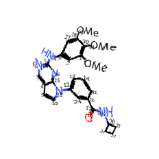 COc1cc(Nc2ncc3ccn(-c4cccc(C(=O)NC5CCC5)c4)c3n2)cc(OC)c1OC